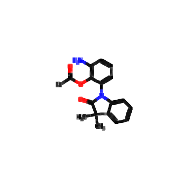 CCC(=O)Oc1c(N)cccc1N1C(=O)C(C)(C)c2ccccc21